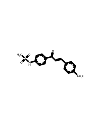 CS(=O)(=O)Nc1ccc(C(=O)C=Cc2ccc(C(=O)O)cc2)cc1